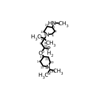 CNC1CCN(C(C)(C)CC(P)OC2CCN(C(C)C)CC2)CC1